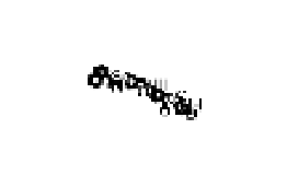 O=C1CCC(N2Cc3cc(NC(=O)CC4CCN(c5ncc(-c6cccc7ccccc67)s5)CC4)ccc3C2=O)C(=O)N1